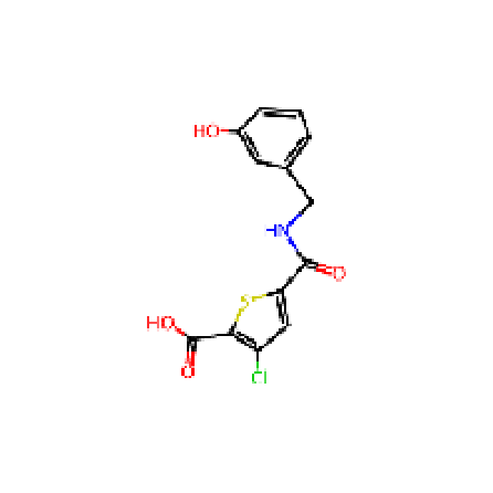 O=C(NCc1cccc(O)c1)c1cc(Cl)c(C(=O)O)s1